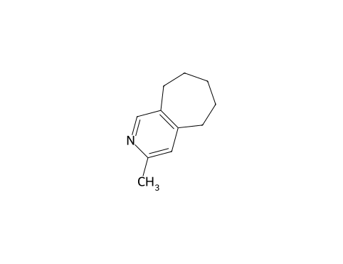 Cc1cc2c(cn1)CCCCC2